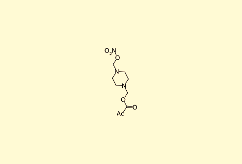 CC(=O)C(=O)OCN1CCN(CO[N+](=O)[O-])CC1